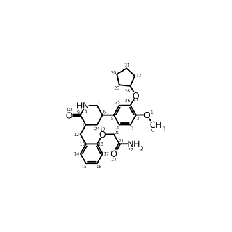 COc1ccc(C2CNC(=O)C(Cc3ccccc3OCC(N)=O)C2)cc1OC1CCCC1